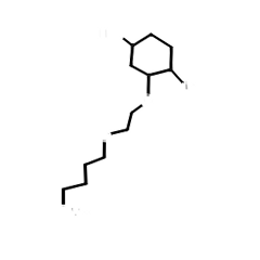 COCCCCOCCOC1CC(C)CCC1C(C)C